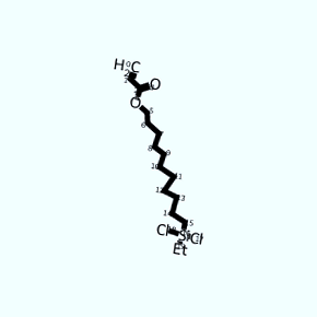 C=CC(=O)OCCCCCCCCCCC[Si](Cl)(Cl)CC